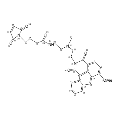 COc1ccc2c3c(c4ccccc4cc13)C(=O)N(CCN(C)CCNC(=O)CCCN1C(=O)C=CC1=O)C2=O